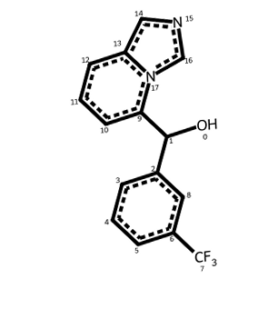 OC(c1cccc(C(F)(F)F)c1)c1cccc2cncn12